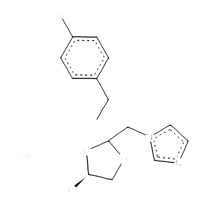 C[C@@H]1CO[C@](CCc2ccc(Cl)cc2)(Cn2ccnc2)O1.Cl